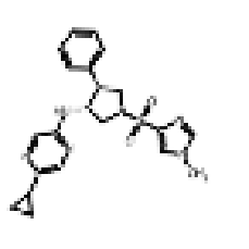 Cn1cnc(S(=O)(=O)N2C[C@H](Nc3cnc(C4CC4)cn3)[C@@H](c3ccccc3)C2)c1